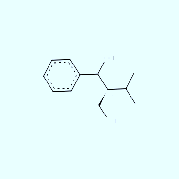 CC(C)[C@@H](CO)C(O)c1ccccc1